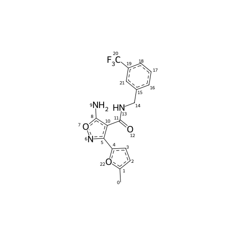 Cc1ccc(-c2noc(N)c2C(=O)NCc2cccc(C(F)(F)F)c2)o1